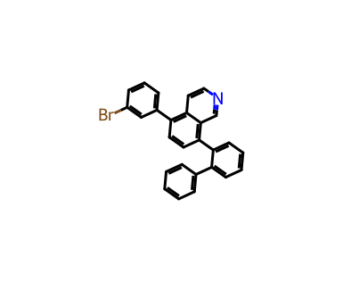 Brc1cccc(-c2ccc(-c3ccccc3-c3ccccc3)c3cnccc23)c1